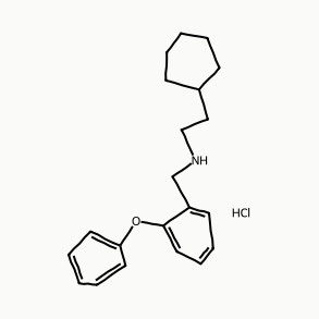 Cl.c1ccc(Oc2ccccc2CNCCC2CCCCC2)cc1